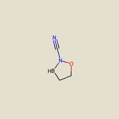 N#CN1BCCO1